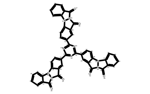 O=c1c2ccccc2n2c3ccc(-c4nc(-c5ccc6c(c5)c(=O)n5c(=O)c7ccccc7n65)nc(-c5ccc6c(c5)c(=O)n5c(=O)c7ccccc7n65)n4)cc3c(=O)n12